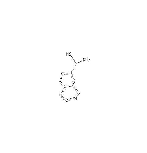 CC(S)c1ccc2ccncc2c1